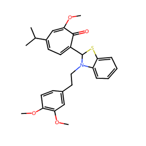 COc1ccc(CCN2c3ccccc3SC2c2ccc(C(C)C)cc(OC)c2=O)cc1OC